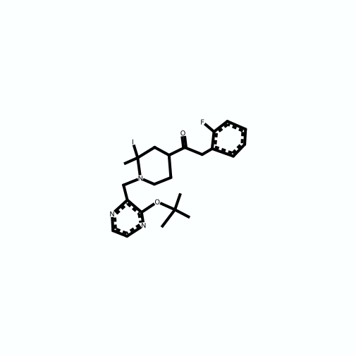 CC(C)(C)Oc1nccnc1CN1CCC(C(=O)Cc2ccccc2F)CC1(C)I